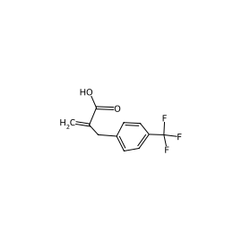 C=C(Cc1ccc(C(F)(F)F)cc1)C(=O)O